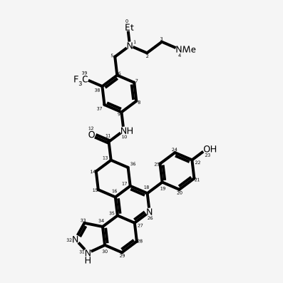 CCN(CCNC)Cc1ccc(NC(=O)C2CCc3c(c(-c4ccc(O)cc4)nc4ccc5[nH]ncc5c34)C2)cc1C(F)(F)F